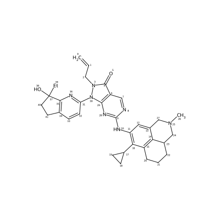 C=CCn1c(=O)c2cnc(Nc3cc4c5c(c3C3CC3)CCCC5CN(C)C4)nc2n1-c1ccc2c(n1)C(O)(CC)CC2